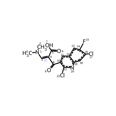 CN(C)/C=C(\C(=O)O)C(=O)c1cc2cc(F)c(Cl)cc2nc1Cl